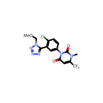 COCn1nnnc1-c1cc(-n2c(=O)cc(C(F)(F)F)n(C)c2=O)ccc1Cl